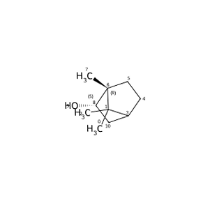 CC1(C)C2CC[C@@]1(C)[C@@H](O)C2